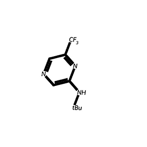 CC(C)(C)Nc1cncc(C(F)(F)F)n1